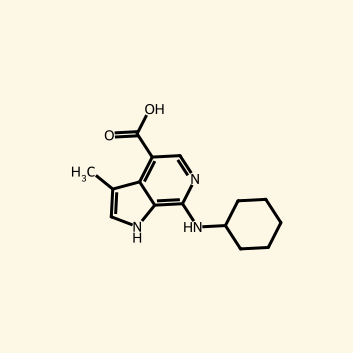 Cc1c[nH]c2c(NC3CCCCC3)ncc(C(=O)O)c12